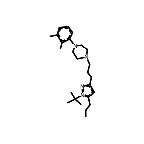 CCCc1cc(CCCN2CCN(c3cccc(C)c3C)CC2)nn1C(C)(C)C